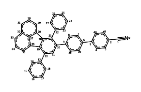 N#Cc1ccc(-c2ccc(-c3cc(-c4ccccc4)c4c(c3-c3ccccc3)-c3cccc5cccc-4c35)cc2)cc1